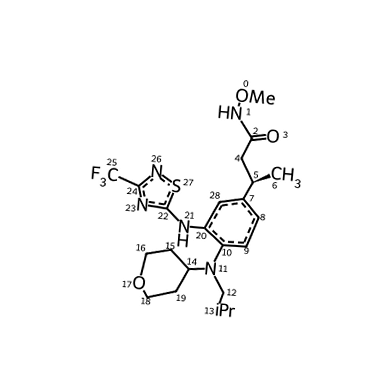 CONC(=O)C[C@@H](C)c1ccc(N(CC(C)C)C2CCOCC2)c(Nc2nc(C(F)(F)F)ns2)c1